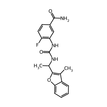 Cc1c(C(C)NC(=O)Nc2cc(C(N)=O)ccc2F)oc2ccccc12